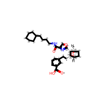 O=C(O)c1cccc(CC[C@@H]2[C@H](c3nc(C(=O)NCCCCC4CCCCC4)co3)[C@H]3CC[C@@H]2O3)c1